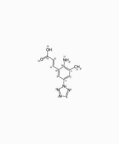 Cc1cc(-n2ncnn2)cc(C=CC(=O)O)c1N